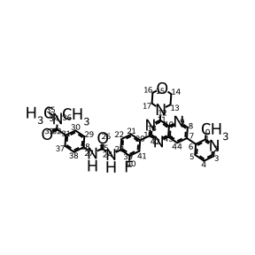 Cc1ncccc1-c1cnc2c(N3CCOCC3)nc(-c3ccc(NC(=O)Nc4ccc(C(=O)N(C)C)cc4)c(F)c3)nc2c1